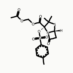 CC(=O)OCOC(=O)[C@]1(OS(=O)(=O)c2ccc(C)cc2)N2C(=O)C[C@H]2SC1(C)C